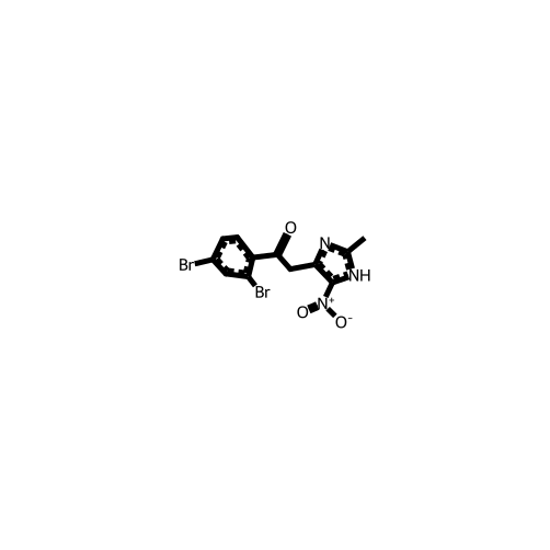 Cc1nc(CC(=O)c2ccc(Br)cc2Br)c([N+](=O)[O-])[nH]1